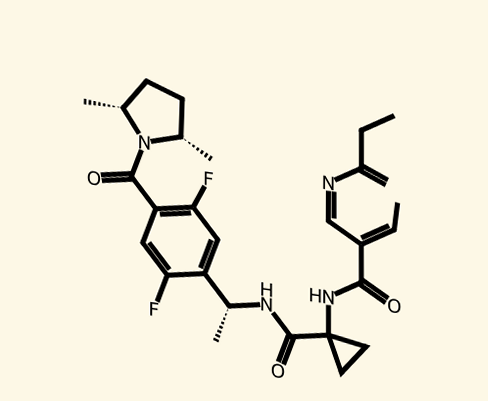 C=C(CC)/N=C\C(=C/C)C(=O)NC1(C(=O)N[C@H](C)c2cc(F)c(C(=O)N3[C@H](C)CC[C@@H]3C)cc2F)CC1